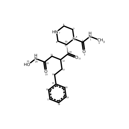 CNC(=O)N1CCNC[C@H]1C(=O)C(CCc1ccccc1)CC(=O)NO